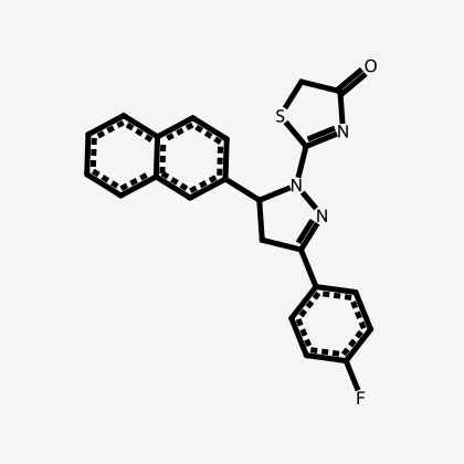 O=C1CSC(N2N=C(c3ccc(F)cc3)CC2c2ccc3ccccc3c2)=N1